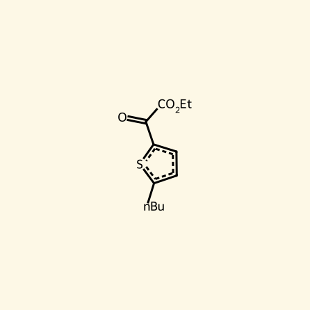 CCCCc1ccc(C(=O)C(=O)OCC)s1